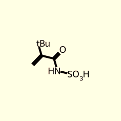 C=C(C(=O)NS(=O)(=O)O)C(C)(C)C